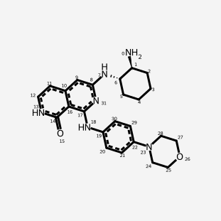 N[C@H]1CCCC[C@@H]1Nc1cc2cc[nH]c(=O)c2c(Nc2ccc(N3CCOCC3)cc2)n1